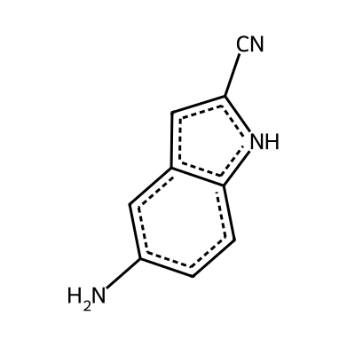 N#Cc1cc2cc(N)ccc2[nH]1